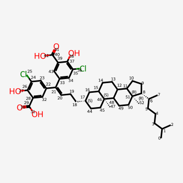 CC(C)CCCC(C)[C@H]1CCC2C3CCC4C[C@@H](CCC=C(c5cc(Cl)c(O)c(C(=O)O)c5)c5cc(Cl)c(O)c(C(=O)O)c5)CC[C@]4(C)C3CC[C@@]21C